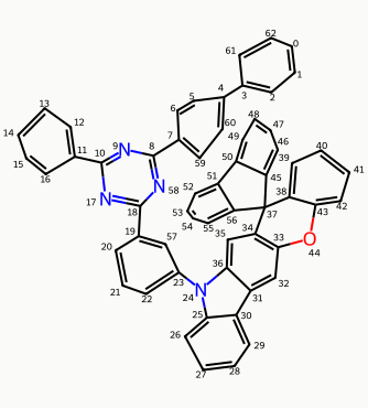 c1ccc(-c2ccc(-c3nc(-c4ccccc4)nc(-c4cccc(-n5c6ccccc6c6cc7c(cc65)C5(c6ccccc6O7)c6ccccc6-c6ccccc65)c4)n3)cc2)cc1